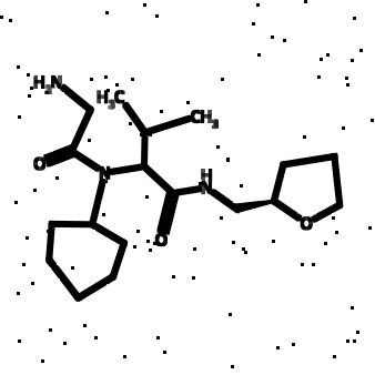 CC(C)C(C(=O)NC[C@H]1CCCO1)N(C(=O)CN)C1CCCCC1